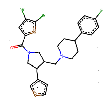 O=C(c1cc(Br)c(Br)s1)N1CC(CN2CCC(c3ccc(F)cc3)CC2)C(c2ccsc2)C1